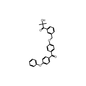 CC(C)(O)C(=O)c1cccc(COc2ccc(C(=O)c3ccc(Oc4ccccc4)cc3)cc2)c1